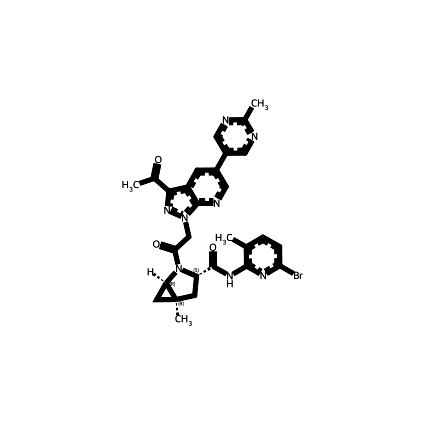 CC(=O)c1nn(CC(=O)N2[C@H](C(=O)Nc3nc(Br)ccc3C)C[C@@]3(C)C[C@@H]23)c2ncc(-c3cnc(C)nc3)cc12